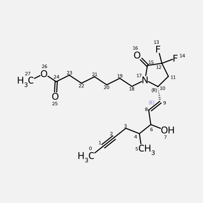 CC#CCC(C)C(O)/C=C/[C@H]1CC(F)(F)C(=O)N1CCCCCCC(=O)OC